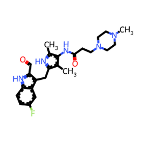 Cc1[nH]c(Cc2c(C=O)[nH]c3ccc(F)cc23)c(C)c1NC(=O)CCN1CCN(C)CC1